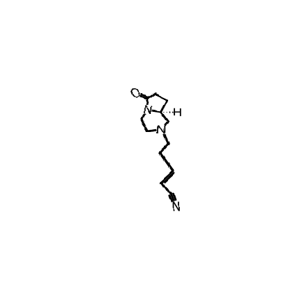 N#CC=CCCN1CCN2C(=O)CC[C@H]2C1